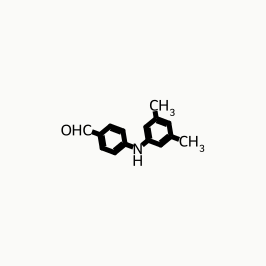 Cc1cc(C)cc(Nc2ccc(C=O)cc2)c1